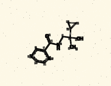 CC(O)(CNC(=O)c1cnccn1)C1CC1